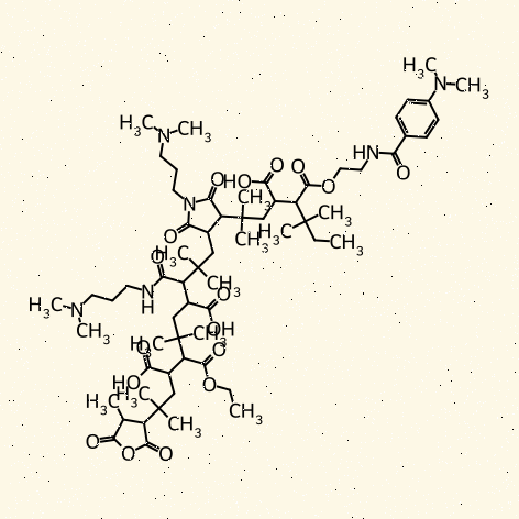 CCOC(=O)C(C(CC(C)(C)C1C(=O)OC(=O)C1C)C(=O)O)C(C)(C)CC(C(=O)O)C(C(=O)NCCCN(C)C)C(C)(C)CC1C(=O)N(CCCN(C)C)C(=O)C1C(C)(C)CC(C(=O)O)C(C(=O)OCCNC(=O)c1ccc(N(C)C)cc1)C(C)(C)CC